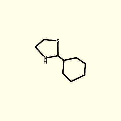 C1CC[C](C2NCCS2)CC1